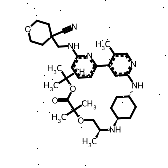 Cc1cnc(N[C@H]2CC[C@H](N[C@@H](C)COC(C)(C)C(=O)OC(C)(C)C)CC2)cc1-c1cccc(NCC2(C#N)CCOCC2)n1